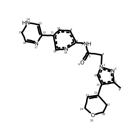 Cc1nn(CC(=O)Nc2ccc(C3=CNCC=N3)cn2)cc1C1=CCOCC1